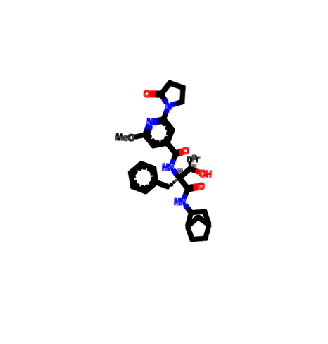 CCC[C@H](O)[C@](Cc1ccccc1)(NC(=O)c1cc(OC)nc(N2CCCC2=O)c1)C(=O)NC1CC2CCC1C2